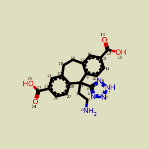 NCCC1(c2nn[nH]n2)c2ccc(C(=O)O)cc2CCc2cc(C(=O)O)ccc21